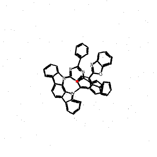 c1ccc(-c2nc(-c3ccccc3)nc(-n3c4ccccc4c4ccc5c6ccccc6n(-c6ccc(-c7nc8ccccc8o7)c(-c7ccccc7)c6)c5c43)n2)cc1